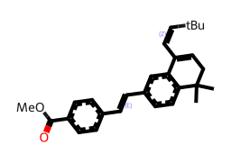 COC(=O)c1ccc(/C=C/c2ccc3c(c2)C(/C=C\C(C)(C)C)=CCC3(C)C)cc1